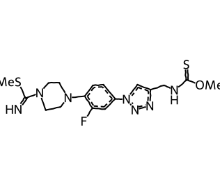 COC(=S)NCc1cn(-c2ccc(N3CCN(C(=N)SC)CC3)c(F)c2)nn1